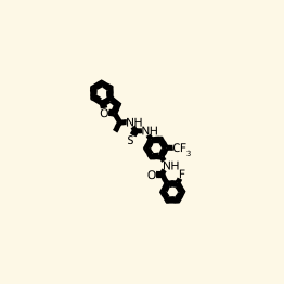 CC(NC(=S)Nc1ccc(NC(=O)c2ccccc2F)c(C(F)(F)F)c1)c1cc2ccccc2o1